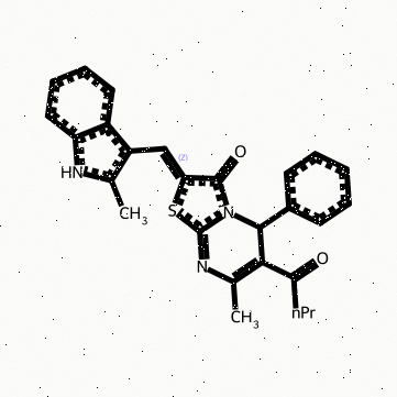 CCCC(=O)C1=C(C)N=c2s/c(=C\c3c(C)[nH]c4ccccc34)c(=O)n2C1c1ccccc1